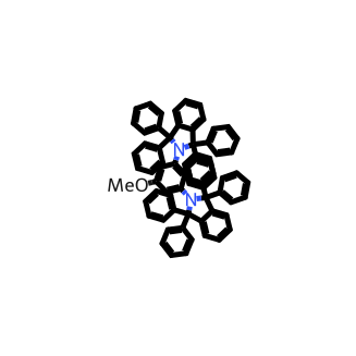 COc1cc(N2C(c3ccccc3)(c3ccccc3)c3ccccc3C2(c2ccccc2)c2ccccc2)cc(N2C(c3ccccc3)(c3ccccc3)c3ccccc3C2(c2ccccc2)c2ccccc2)c1